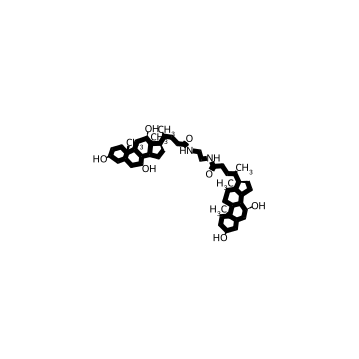 C[C@H](CCC(=O)NCCNC(=O)CC[C@@H](C)[C@H]1CCC2C3C(CC[C@@]21C)[C@@]1(C)CC[C@@H](O)CC1C[C@H]3O)[C@H]1CCC2C3C(C[C@H](O)[C@@]21C)[C@@]1(C)CC[C@@H](O)CC1C[C@H]3O